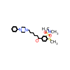 CSc1ccc(C(=O)CCCCCN2CCN(c3ccccc3)CC2)cc1S(=O)(=O)N(C)C